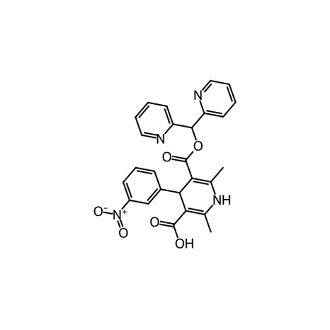 CC1=C(C(=O)O)C(c2cccc([N+](=O)[O-])c2)C(C(=O)OC(c2ccccn2)c2ccccn2)=C(C)N1